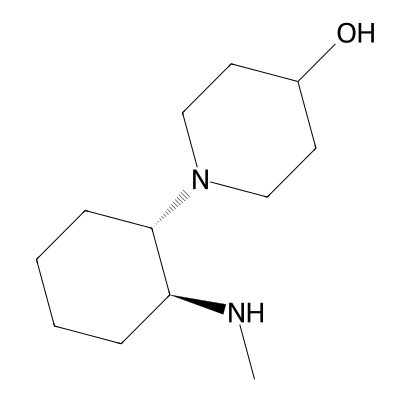 CN[C@H]1CCCC[C@@H]1N1CCC(O)CC1